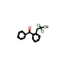 N#CC(Cl)(Cl)Cc1ccccc1C(=O)c1ccccc1